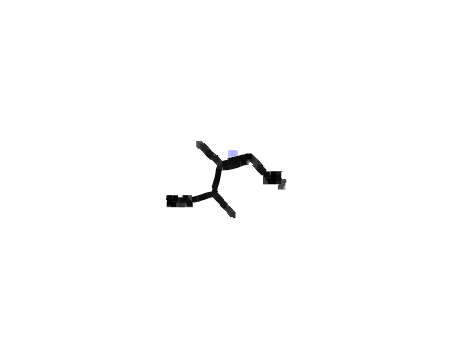 CNC(C)/C(C)=C\N